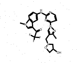 Cc1nn(-c2ccnc(Nc3ccc4c(c3)c(C(=O)C(F)(F)F)cn4C)n2)cc1CN1CC(O)CO1